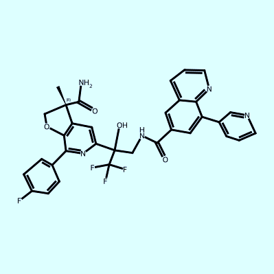 C[C@]1(C(N)=O)COc2c1cc(C(O)(CNC(=O)c1cc(-c3cccnc3)c3ncccc3c1)C(F)(F)F)nc2-c1ccc(F)cc1